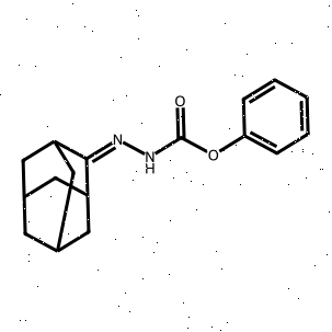 O=C(NN=C1C2CC3CC(C2)CC1C3)Oc1ccccc1